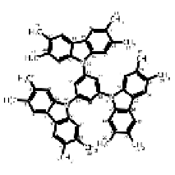 Cc1cc2c3cc(C)c(C)cc3n(-c3cc(-n4c5cc(C)c(C)cc5c5cc(C)c(C)cc54)cc(-n4c5cc(C)c(C)cc5c5cc(C)c(C)cc54)c3)c2cc1C